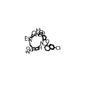 CCN1CC=C[C@H](OC(=O)N(C)C)[C@@H]2CC[C@H]2CN2C[C@@]3(CCCc4cc(Cl)ccc43)COc3ccc(cc32)S(=O)(=O)NC(=O)C1(C)C